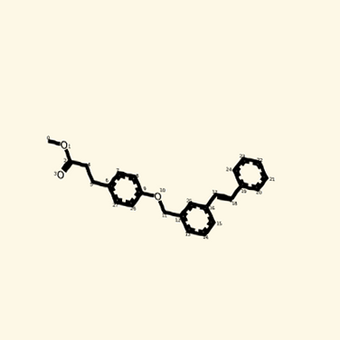 COC(=O)CCc1ccc(OCc2cccc(C=Cc3ccccc3)c2)cc1